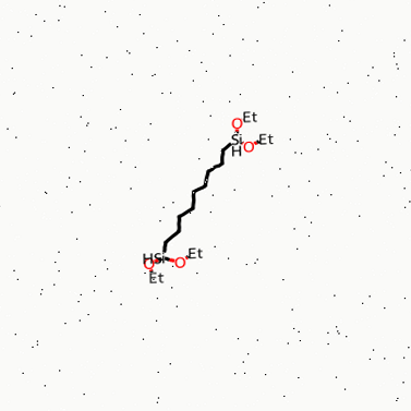 CCO[SiH](CCCCCCCCC[SiH](OCC)OCC)OCC